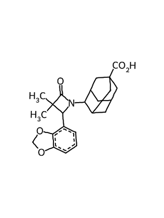 CC1(C)C(=O)N(C2C3CC4CC2CC(C(=O)O)(C4)C3)C1c1cccc2c1OCO2